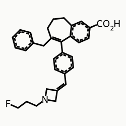 O=C(O)c1ccc2c(c1)CCCC(Cc1ccccc1)=C2c1ccc(C=C2CN(CCCF)C2)cc1